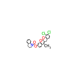 Cc1c(Cc2ccc(Cl)c(Cl)c2)c(=O)oc2cc(OC(=O)N3CCCc4ccccc43)ccc12